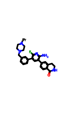 CC(C)N1CCN(Cc2cccc(-c3cc(-c4ccc5c(c4)CCNC5=O)c(N)nc3F)c2)CC1